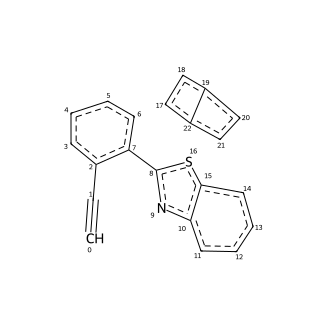 C#Cc1ccccc1-c1nc2ccccc2s1.c1cc2ccc1-2